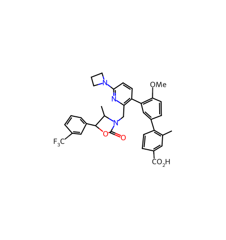 COc1ccc(-c2ccc(C(=O)O)cc2C)cc1-c1ccc(N2CCC2)nc1CN1C(=O)OC(c2cccc(C(F)(F)F)c2)C1C